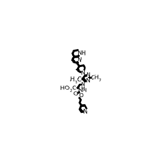 Cc1nc(NC[C@H](NC(=O)OCCCc2ccncc2)C(=O)O)c(C)c(N2CCC(c3ccc4c(n3)NCCC4)CC2)n1